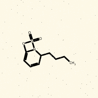 CCCCC1C=CC=C2OS(=O)(=O)N21